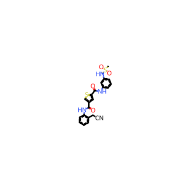 CS(=O)(=O)Nc1cccc(NC(=O)c2cc(C(=O)Nc3ccccc3CC#N)cs2)c1